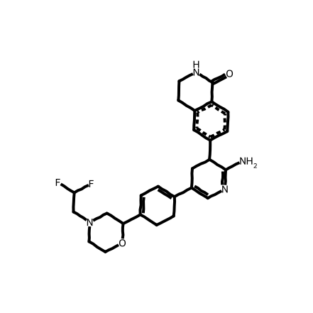 NC1=NC=C(C2=CC=C(C3CN(CC(F)F)CCO3)CC2)CC1c1ccc2c(c1)CCNC2=O